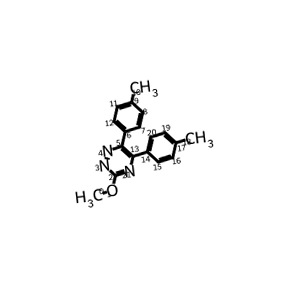 COc1nnc(-c2ccc(C)cc2)c(-c2ccc(C)cc2)n1